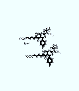 CC(C)c1nc(N(C)S(C)(=O)=O)nc(-c2ccc(F)cc2)c1C(O)=C(O)CCCCC(=O)[O-].CC(C)c1nc(N(C)S(C)(=O)=O)nc(-c2ccc(F)cc2)c1C(O)=C(O)CCCCC(=O)[O-].[Ca+2]